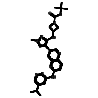 CC(C)c1cnnc(Nc2ccc3ncc(-c4cn(C)nc4NC4CN(C(=O)OC(C)(C)C)C4)cc3n2)c1